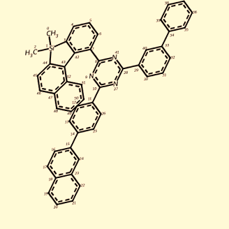 C[Si]1(C)c2cccc(-c3nc(-c4ccc(-c5ccc6ccccc6c5)cc4)nc(-c4cccc(-c5ccccc5)c4)n3)c2-c2c1ccc1ccccc21